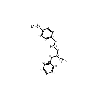 COc1ccc(CNCC(C)Cc2ccccc2)cc1